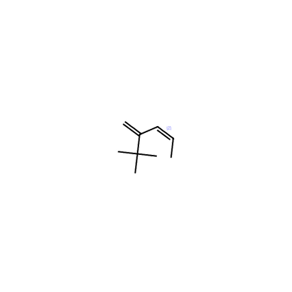 C=C(/C=C\C)C(C)(C)C